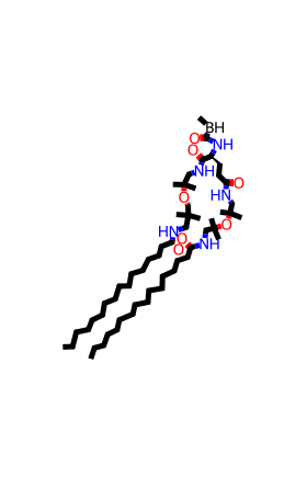 CBC(=O)N[C@@H](CCC(=O)NCC(C)(C)OC(C)(C)CNC(=O)CCCCCCCCCCCCCCC)C(=O)NCC(C)(C)OCC(C)(C)CNC(=O)CCCCCCCCCCCCCCC